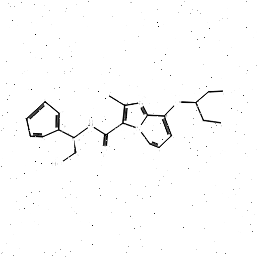 CCC(CC)Oc1cccn2c(C(=O)N[C@@H](CO)c3ccccc3)c(C)nc12